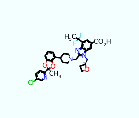 CC(F)(F)c1cc(C(=O)O)cc2c1nc(CN1CCC(c3cccc4c3O[C@](C)(c3ccc(Cl)cn3)O4)CC1)n2C[C@@H]1CCO1